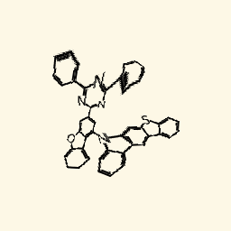 C1=c2oc3cc(-c4nc(-c5ccccc5)nc(-c5ccccc5)n4)cc(-n4c5ccccc5c5cc6c(cc54)sc4ccccc46)c3c2=CCC1